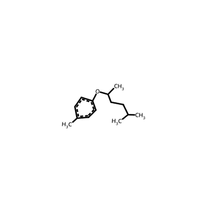 Cc1ccc(OC(C)CCC(C)C)cc1